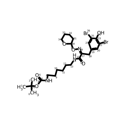 CC(C)(C)OC(=O)NCCCCCCNC(=O)C(Cc1cc(Br)c(O)c(Br)c1)=NOC1CCCCO1